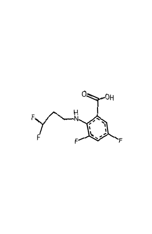 O=C(O)c1cc(F)cc(F)c1NCCC(F)F